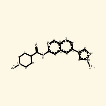 CC(=O)N1CCC(C(=O)Nc2cc3cc(-c4cnn(C)c4)cnc3cn2)CC1